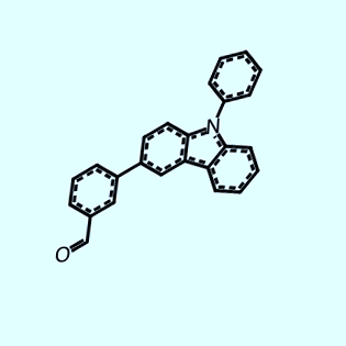 O=Cc1cccc(-c2ccc3c(c2)c2ccccc2n3-c2ccccc2)c1